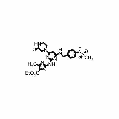 CCOC(=O)c1sc(Nc2nc(NCc3ccc(NS(C)(=O)=O)cc3)cc(N3CCNC(=O)C3)n2)nc1C